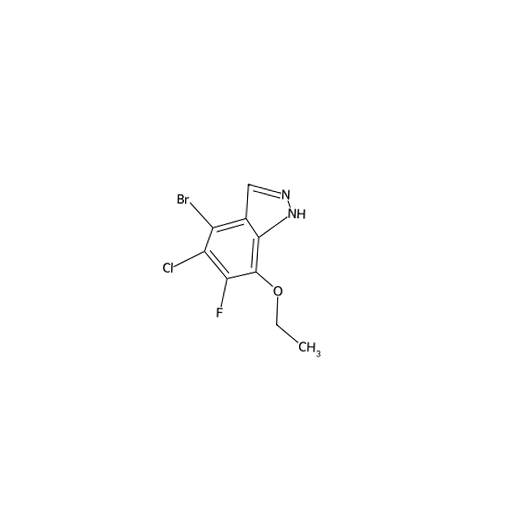 CCOc1c(F)c(Cl)c(Br)c2cn[nH]c12